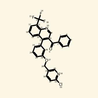 O=C(c1ccccc1)c1cnc2c(C(F)(F)F)cccc2c1-c1cccc(OCc2ccc(Cl)nc2)c1